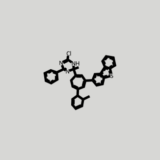 CC1C=CC=CC1C1=CCC(C2(C)N=C(c3ccccc3)N=C(Cl)N2)=CC(c2ccc3sc4ccccc4c3c2)=C1